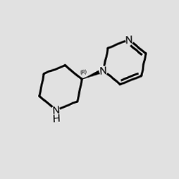 C1=CN([C@@H]2CCCNC2)CN=C1